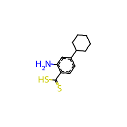 Nc1cc(C2CCCCC2)ccc1C(=S)S